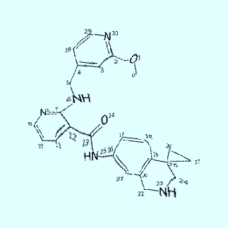 COc1cc(CNc2ncccc2C(=O)Nc2ccc3c(c2)CNCC32CC2)ccn1